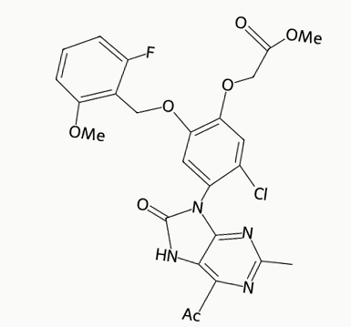 COC(=O)COc1cc(Cl)c(-n2c(=O)[nH]c3c(C(C)=O)nc(C)nc32)cc1OCc1c(F)cccc1OC